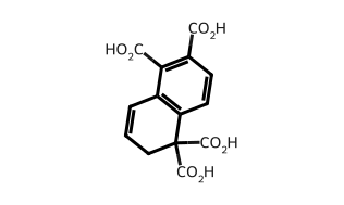 O=C(O)c1ccc2c(c1C(=O)O)C=CCC2(C(=O)O)C(=O)O